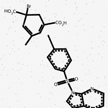 CC1=CC(Br)(C(=O)O)CC(C(=O)O)=C1.Cc1ccc(S(=O)(=O)n2ccc3cccnc32)cc1